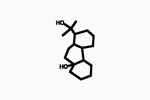 CC(C)(O)C1CCCC2C1CCC1(O)CCCCC21